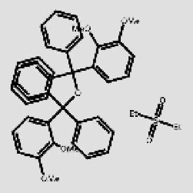 CCS(=O)(=O)CC.COc1cccc(C(OC(c2ccccc2)(c2ccccc2)c2cccc(OC)c2OC)(c2ccccc2)c2ccccc2)c1OC